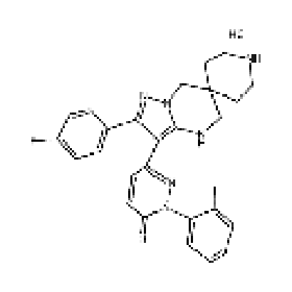 Cc1ccccc1-n1nc(-c2c(-c3ccc(F)cc3)nn3c2NCC2(CCNCC2)C3)ccc1=O.Cl